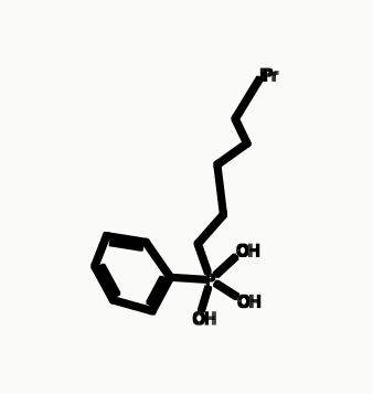 CC(C)CCCCCP(O)(O)(O)c1ccccc1